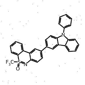 O=S1(C(F)(F)F)=Nc2ccc(-c3ccc4c(c3)c3ccccc3n4-c3ccccc3)cc2-c2ccccc21